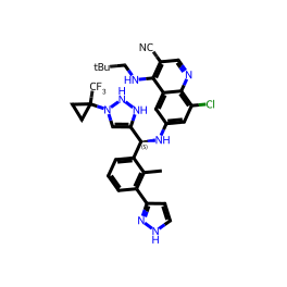 Cc1c(-c2cc[nH]n2)cccc1[C@H](Nc1cc(Cl)c2ncc(C#N)c(NCC(C)(C)C)c2c1)C1=CN(C2(C(F)(F)F)CC2)NN1